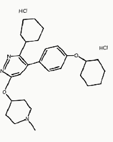 CN1CCC(Oc2cc(-c3ccc(OC4CCCCC4)cc3)c(C3CCCCC3)nn2)CC1.Cl.Cl